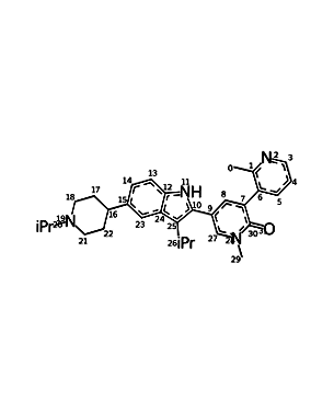 Cc1ncccc1-c1cc(-c2[nH]c3ccc(C4CCN(C(C)C)CC4)cc3c2C(C)C)cn(C)c1=O